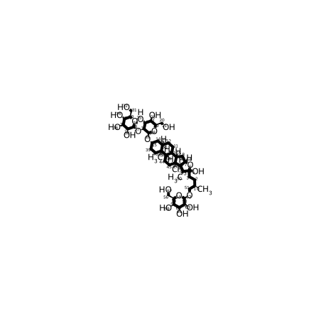 C[C@@H](CCC1(O)O[C@H]2C[C@H]3[C@@H]4CC[C@@H]5C[C@@H](O[C@@H]6O[C@H](CO)[C@H](O)[C@H](O)[C@H]6O[C@@H]6O[C@H](CO)[C@@H](O)[C@H](O)[C@H]6O)CC[C@]5(C)[C@H]4CC[C@]3(C)[C@H]2[C@@H]1C)CO[C@@H]1O[C@H](CO)[C@@H](O)[C@H](O)[C@H]1O